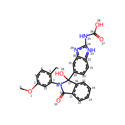 COc1ccc(C)c(N2C(=O)c3ccccc3C2(O)c2ccc3[nH]c(NC(=O)O)nc3c2)c1